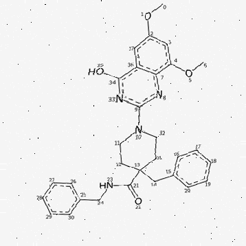 COc1cc(OC)c2nc(N3CCC(Cc4ccccc4)(C(=O)NCc4ccccc4)CC3)nc(O)c2c1